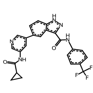 O=C(Nc1ccc(C(F)(F)F)cc1)c1n[nH]c2ccc(-c3cncc(NC(=O)C4CC4)c3)cc12